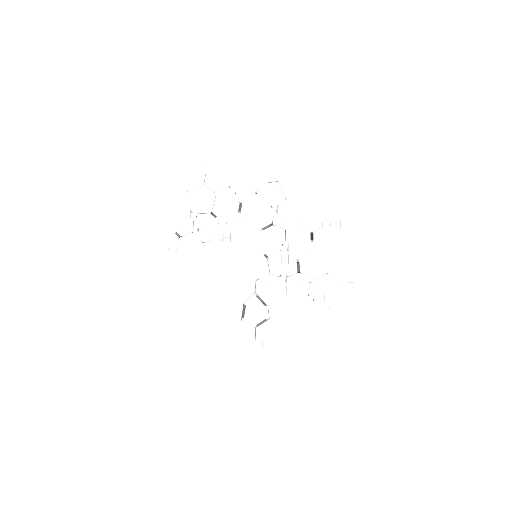 CC(C)[C@H](NC(=O)[C@@H]1CCCN1C(=O)[C@H](CC(=O)O)NC(=O)[C@H](Cc1ccc(O)cc1)NC(=O)[C@@H](N)CO)C(=O)N[C@@H](CS)C(=O)O